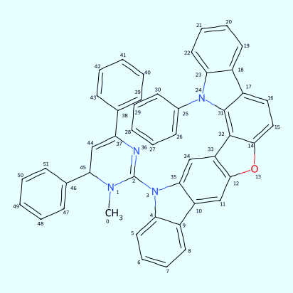 CN1C(n2c3ccccc3c3cc4oc5ccc6c7ccccc7n(-c7ccccc7)c6c5c4cc32)=NC(c2ccccc2)=CC1c1ccccc1